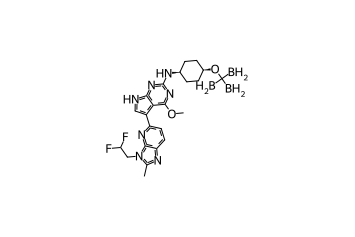 BC(B)(B)O[C@H]1CC[C@@H](Nc2nc(OC)c3c(-c4ccc5nc(C)n(CC(F)F)c5n4)c[nH]c3n2)CC1